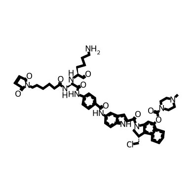 CN1CCN(C(=O)Oc2cc3c(c4ccccc24)[C@H](CCl)CN3C(=O)c2cc3cc(NC(=O)c4ccc(NC(=O)[C@@H](NC(=O)CCCCCN5C(=O)C=CC5=O)N[C@H](C=O)CCCCN)cc4)ccc3[nH]2)CC1